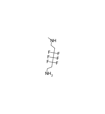 CNCCC(F)(F)C(F)(F)C(F)(F)CCN